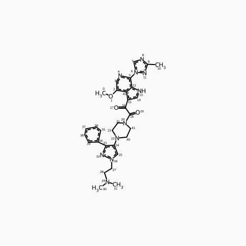 COc1cnc(-n2cnc(C)n2)c2[nH]cc(C(=O)C(=O)N3CCN(c4cn(CCN(C)C)nc4-c4ccccc4)CC3)c12